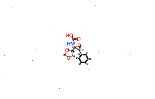 O=C(O)N[C@]1([C@@H]2COCO2)OC1c1ccccc1